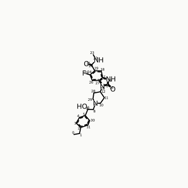 CCc1ccc(C(O)CN2CCC(n3c(=O)[nH]c4cc(C(=O)NC)c(F)cc43)CC2)cc1